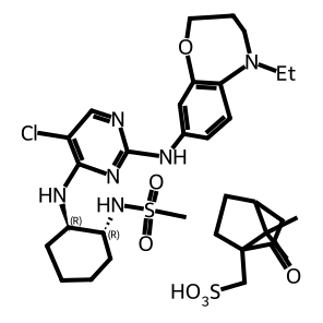 CC1(C)C2CCC1(CS(=O)(=O)O)C(=O)C2.CCN1CCCOc2cc(Nc3ncc(Cl)c(N[C@@H]4CCCC[C@H]4NS(C)(=O)=O)n3)ccc21